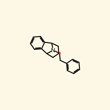 c1ccc(CCN2C3CCCC2c2ccccc23)cc1